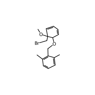 COC1(CBr)C=CC=CC1OCc1c(C)cccc1C